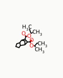 CCC(C)OC(=O)C1C2CC(C3CCCC32)C1C(=O)OC(C)CC